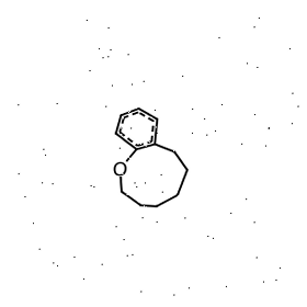 c1ccc2c(c1)CCCCCCO2